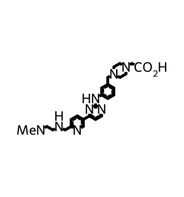 CNCCNCc1ccc(-c2ccnc(Nc3cccc(CN4CCN(CC(=O)O)CC4)c3)n2)cn1